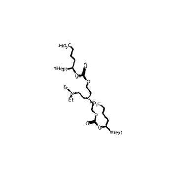 CCCCCCCC(CCCC(=O)O)OC(=O)OCCN(CCOC(=O)OC(CCCCCCC)CCCC(=O)O)CCN(CC)CC